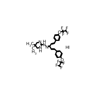 CC1(C)CN=C(NN=C(C=Cc2ccc(OC(F)(F)C(F)F)cc2)C=Cc2ccc(OC(F)(F)C(F)F)cc2)NC1.I